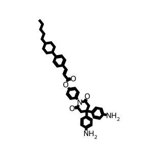 CCCCCC1CCC(c2ccc(/C=C/C(=O)Oc3ccc(N4C(=O)CC(c5ccc(N)cc5)(c5ccc(N)cc5)CC4=O)cc3)cc2)CC1